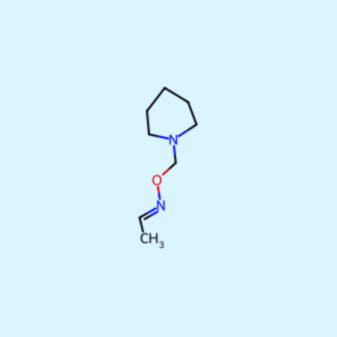 CC=NOCN1CCCCC1